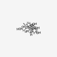 CC(C)[C@@H]1CC(O)OC([C@@H](C)[C@H]2CC[C@H]3[C@@H]4C(O)CC5(O)CC(O)CC(O)[C@]5(C)[C@H]4CC[C@]23C)C1